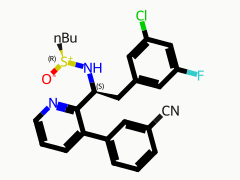 CCCC[S@+]([O-])N[C@@H](Cc1cc(F)cc(Cl)c1)c1ncccc1-c1cccc(C#N)c1